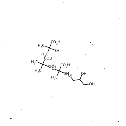 CC(C)(S)C(=O)O.CC(C)(S)C(=O)O.CC(C)(S)C(=O)O.OCC(O)CO